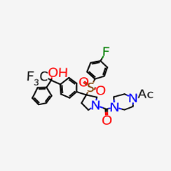 CC(=O)N1CCN(C(=O)N2CCC(c3ccc(C(O)(c4ccccc4)C(F)(F)F)cc3)(S(=O)(=O)c3ccc(F)cc3)C2)CC1